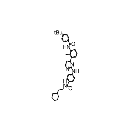 Cc1c(NC(=O)c2ccc(C(C)(C)C)cc2)cccc1-c1ccnc(Nc2ccc(C(=O)NCCC3=CCCCC3)cc2)n1